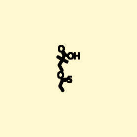 CCC(=S)OCCC(C)(C)C(=O)O